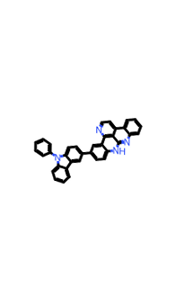 c1ccc(-n2c3ccccc3c3cc(-c4ccc5c(c4)-c4nccc6c4c(nc4ccccc46)N5)ccc32)cc1